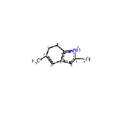 CC(C)c1cc2c([nH]1)CCC(C(F)(F)F)=C2